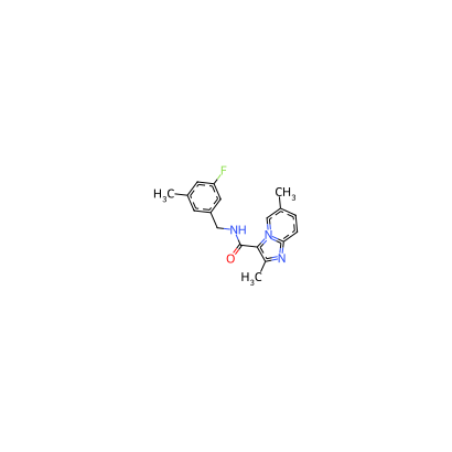 Cc1cc(F)cc(CNC(=O)c2c(C)nc3ccc(C)cn23)c1